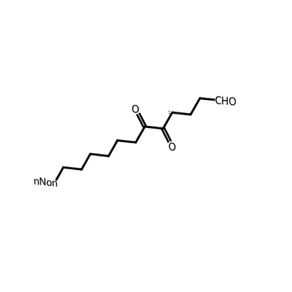 CCCCCCCCCCCCCCCC(=O)C(=O)[C]CCC=O